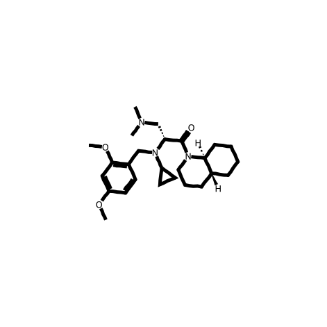 COc1ccc(CN(C2CC2)[C@H](CN(C)C)C(=O)N2CCC[C@H]3CCCC[C@@H]32)c(OC)c1